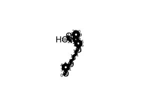 COc1cccc(OCCCCCOc2ccc3c4ccccc4n(CC(=O)O)c3c2)c1